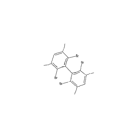 Cc1cc(C)c(Br)c(-c2c(Br)c(C)cc(C)c2Br)c1Br